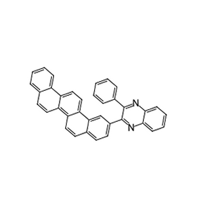 c1ccc(-c2nc3ccccc3nc2-c2ccc3ccc4c(ccc5c6ccccc6ccc54)c3c2)cc1